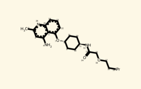 Cc1cc(N)c2c(O[C@H]3CC[C@H](NC(=O)COCCC(C)C)CC3)cccc2n1